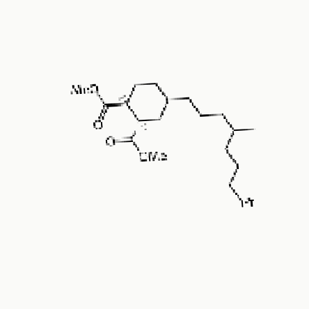 COC(=O)[C@H]1CCC(CCCC(C)CCCC(C)C)C[C@@H]1C(=O)OC